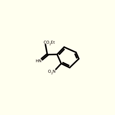 CCOC(=O)C(=N)c1ccccc1[N+](=O)[O-]